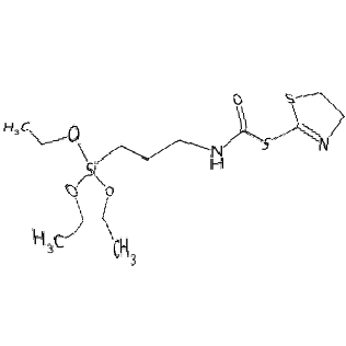 CCO[Si](CCCNC(=O)SC1=NCCS1)(OCC)OCC